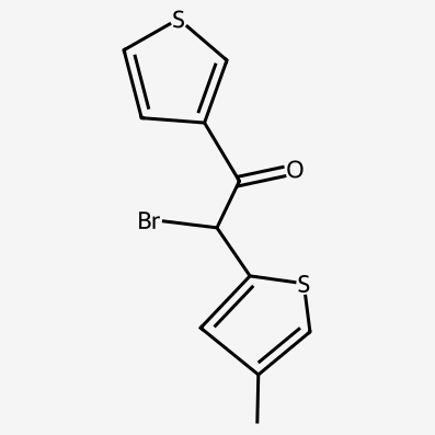 Cc1csc(C(Br)C(=O)c2ccsc2)c1